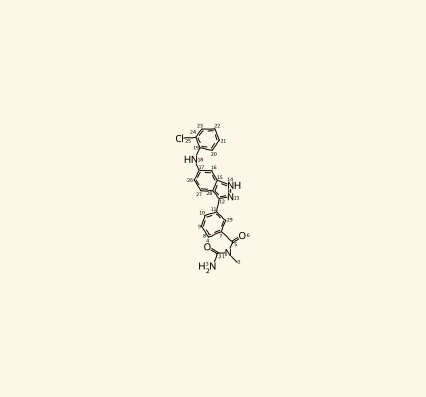 CN(C(N)=O)C(=O)c1cccc(-c2n[nH]c3cc(Nc4ccccc4Cl)ccc23)c1